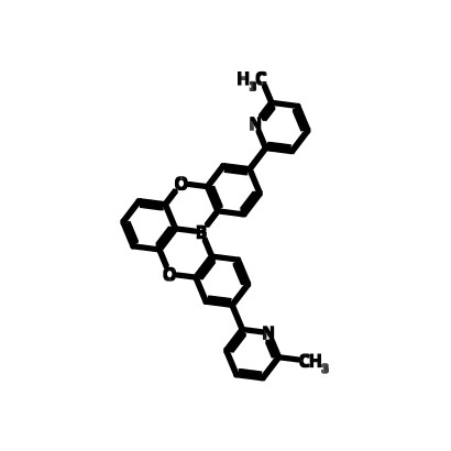 Cc1cccc(-c2ccc3c(c2)Oc2cccc4c2B3c2ccc(-c3cccc(C)n3)cc2O4)n1